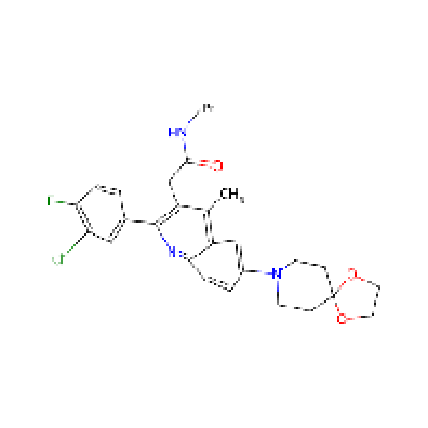 Cc1c(CC(=O)NC(C)C)c(-c2ccc(F)c(Cl)c2)nc2ccc(N3CCC4(CC3)OCCO4)cc12